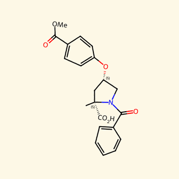 COC(=O)c1ccc(O[C@@H]2CN(C(=O)c3ccccc3)[C@](C)(C(=O)O)C2)cc1